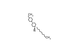 CCCCCCCCC[C@]1(C#N)CC[C@@H](C2CCC(CC)CC2)CC1